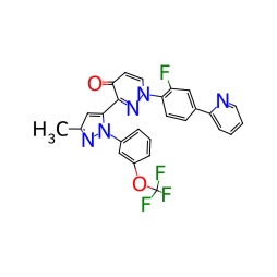 Cc1cc(-c2nn(-c3ccc(-c4ccccn4)cc3F)ccc2=O)n(-c2cccc(OC(F)(F)F)c2)n1